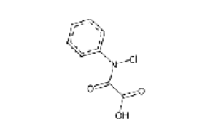 O=C(O)C(=O)N(Cl)c1ccccc1